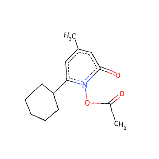 CC(=O)On1c(C2CCCCC2)cc(C)cc1=O